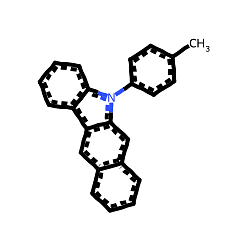 Cc1ccc(-n2c3ccccc3c3cc4ccccc4cc32)cc1